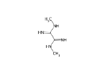 CNC(=N)C(=N)NC